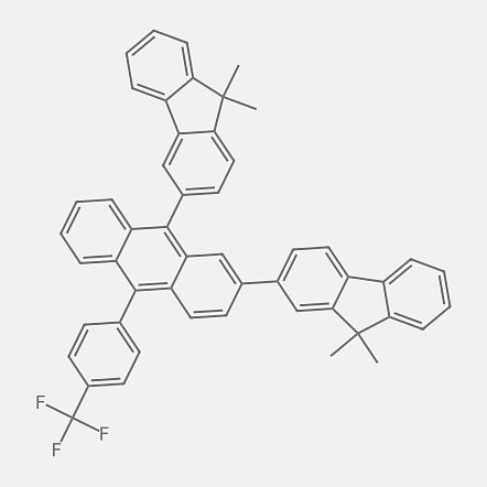 CC1(C)c2ccccc2-c2cc(-c3c4ccccc4c(-c4ccc(C(F)(F)F)cc4)c4ccc(-c5ccc6c(c5)C(C)(C)c5ccccc5-6)cc34)ccc21